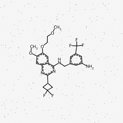 COCCOc1cc2c(NCc3cc(N)cc(C(F)(F)F)c3)nc(C3CC(F)(F)C3)nc2cc1OC